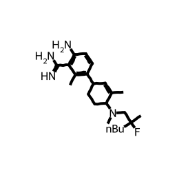 CCCCC(C)(F)CN(C)C1CCC(c2ccc(N)c(C(=N)N)c2C)C=C1C